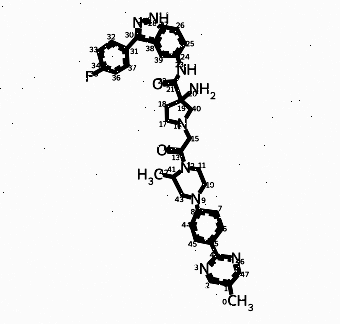 Cc1cnc(-c2ccc(N3CCN(C(=O)CN4CCC(N)(C(=O)Nc5ccc6[nH]nc(-c7ccc(F)cc7)c6c5)C4)C(C)C3)cc2)nc1